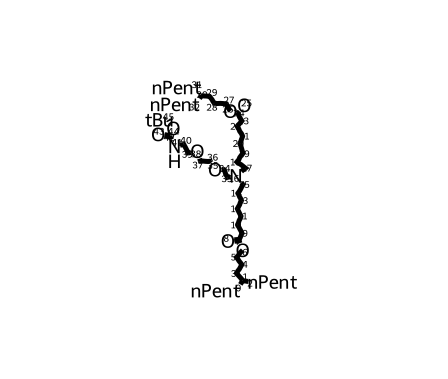 CCCCCC(CCCCC)CCCOC(=O)CCCCCCCN(CCCCCCCC(=O)OCCCC(CCCCC)CCCCC)CCOCCOCCNC(=O)OC(C)(C)C